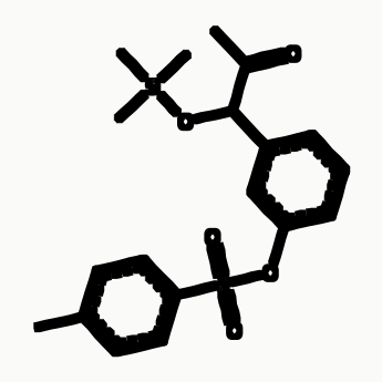 CC(=O)C(O[Si](C)(C)C)c1cccc(OS(=O)(=O)c2ccc(C)cc2)c1